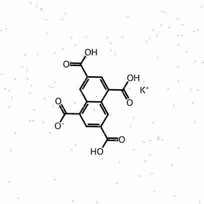 O=C(O)c1cc(C(=O)O)c2cc(C(=O)O)cc(C(=O)[O-])c2c1.[K+]